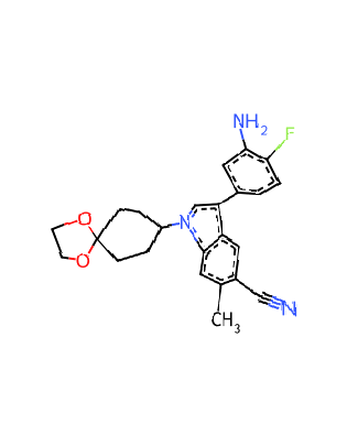 Cc1cc2c(cc1C#N)c(-c1ccc(F)c(N)c1)cn2C1CCC2(CC1)OCCO2